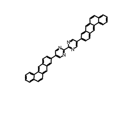 c1ccc2c(c1)ccc1cc3cc(-c4cnc(-c5ncc(-c6ccc7cc8c(ccc9ccccc98)cc7c6)cn5)nc4)ccc3cc12